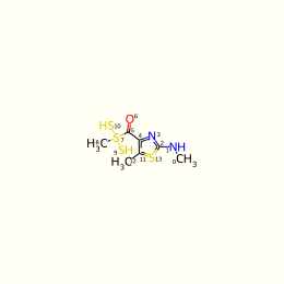 CNc1nc(C(=O)S(C)(S)S)c(C)s1